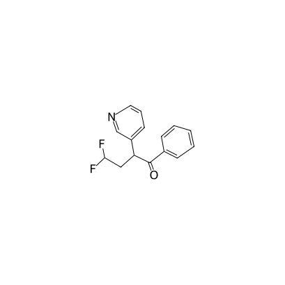 O=C(c1ccccc1)C(CC(F)F)c1cccnc1